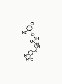 C[C@H](c1ccc2ncn(C)c(=O)c2c1)n1cc(C(=O)N[C@H]2C[C@@H](c3cc(Cl)ccc3C#N)C2)nn1